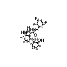 O=C(NCC1CC(F)=CC(F)C1F)C1NNC2NC=NC(N[C@@H]3COCC[C@H]3O)C21